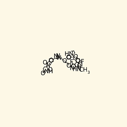 CNC(=O)c1cnc(OCCOCCn2cc(-c3ccc4c(c3)CN(C3CCC(=O)NC3=O)C4=O)nn2)c(F)c1-c1c(Cl)c(F)cc2c1C[C@](c1ccccc1)([C@@H]1CCCN1)O2